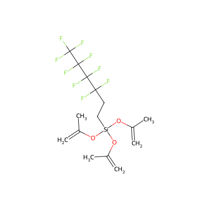 C=C(C)O[Si](CCC(F)(F)C(F)(F)C(F)(F)C(F)(F)F)(OC(=C)C)OC(=C)C